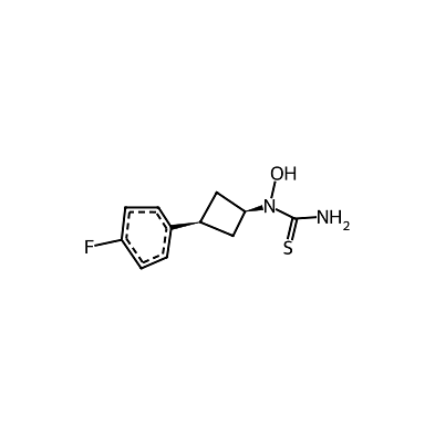 NC(=S)N(O)[C@H]1C[C@@H](c2ccc(F)cc2)C1